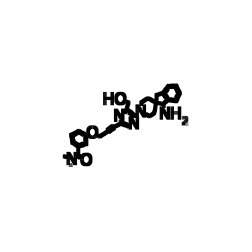 CN(C)C(=O)c1cccc(OCC#Cc2cnc(N3CCC4(CC3)Cc3ccccc3[C@H]4N)c(CO)n2)c1